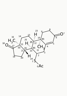 CC(=O)SC1CC2=CC(=O)CC[C@]2(C)[C@@H]2CC[C@]3(C)C(=O)CC[C@H]3[C@H]12